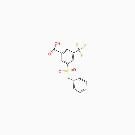 O=C(O)c1cc(C(F)(F)F)cc(S(=O)(=O)Cc2ccccc2)c1